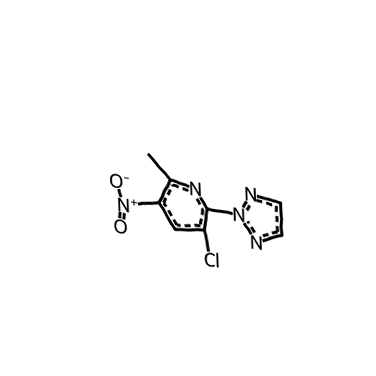 Cc1nc(-n2nccn2)c(Cl)cc1[N+](=O)[O-]